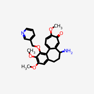 COc1cc2c(c(OCc3cccnc3)c1OC)-c1ccc(OC)c(=O)cc1C(N)CC2